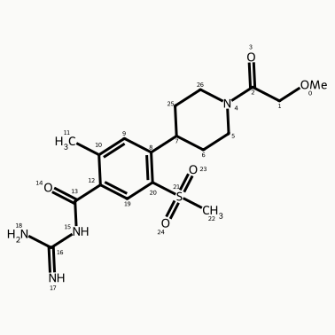 COCC(=O)N1CCC(c2cc(C)c(C(=O)NC(=N)N)cc2S(C)(=O)=O)CC1